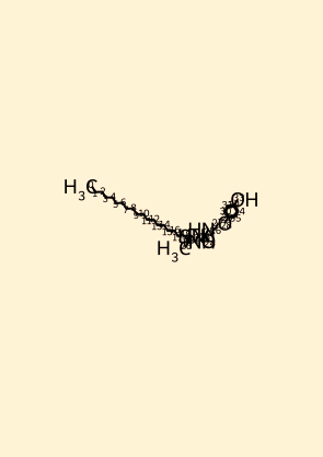 CCCCCCCCCCCCCCCCCCSC(C)NNC(=O)NCCOc1ccc(O)cc1